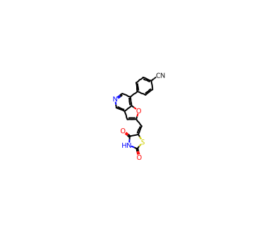 N#Cc1ccc(-c2cncc3cc(C=C4SC(=O)NC4=O)oc23)cc1